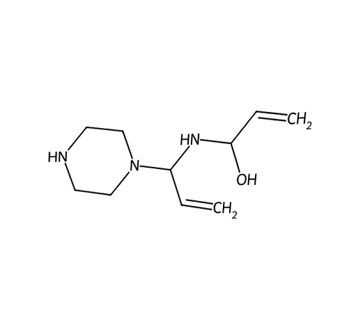 C=CC(O)NC(C=C)N1CCNCC1